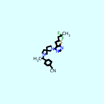 CC(c1ccc(CC#N)cc1)N1CCC2(CCN(c3ncnc4sc(CC(C)(F)F)cc34)C2)C1